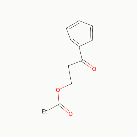 CCC(=O)OCCC(=O)c1ccccc1